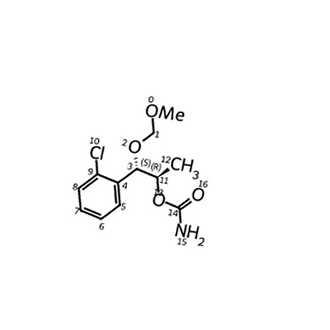 COCO[C@@H](c1ccccc1Cl)[C@@H](C)OC(N)=O